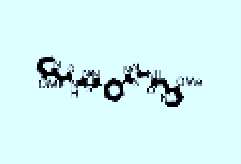 COc1cccnc1CC(=O)Nc1nnc([C@H]2CCC[C@H](c3nnc(NC(=O)Cc4ncccc4OC)s3)C2)s1